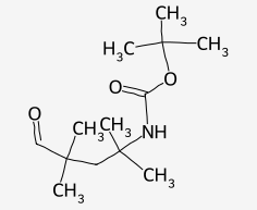 CC(C)(C=O)CC(C)(C)NC(=O)OC(C)(C)C